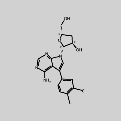 Cc1ccc(-c2cn([C@@H]3O[C@H](CO)C[C@H]3O)c3ncnc(N)c23)cc1Cl